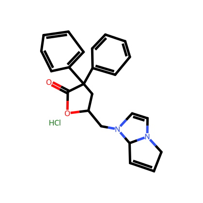 Cl.O=C1OC(CN2C=CN3CC=CC32)CC1(c1ccccc1)c1ccccc1